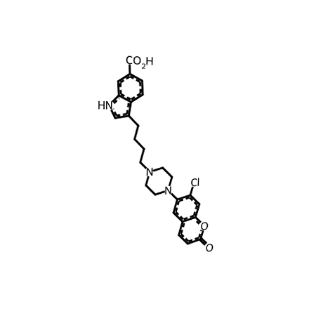 O=C(O)c1ccc2c(CCCCN3CCN(c4cc5ccc(=O)oc5cc4Cl)CC3)c[nH]c2c1